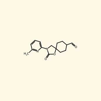 Cc1cccc(N2CC3(CCC(C=O)CC3)OC2=O)n1